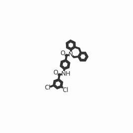 O=C(Nc1ccc(C(=O)N2Cc3ccccc3Cc3ccccc32)cc1)c1cc(Cl)cc(Cl)c1